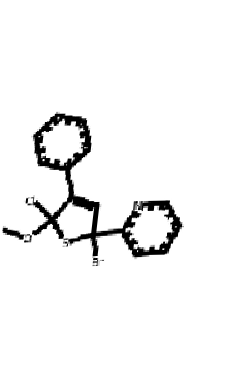 COC1(Cl)SC(Br)(c2ccccn2)C=C1c1ccccc1